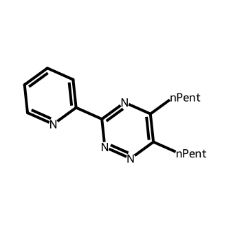 CCCCCc1nnc(-c2ccccn2)nc1CCCCC